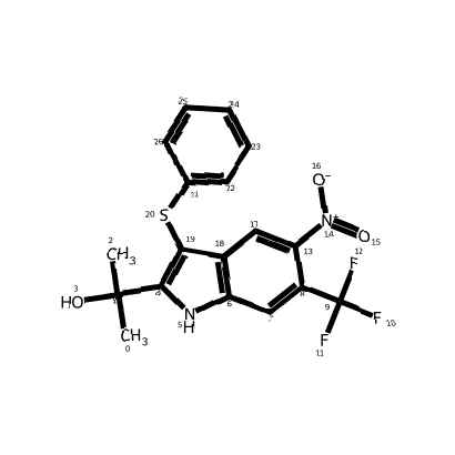 CC(C)(O)c1[nH]c2cc(C(F)(F)F)c([N+](=O)[O-])cc2c1Sc1ccccc1